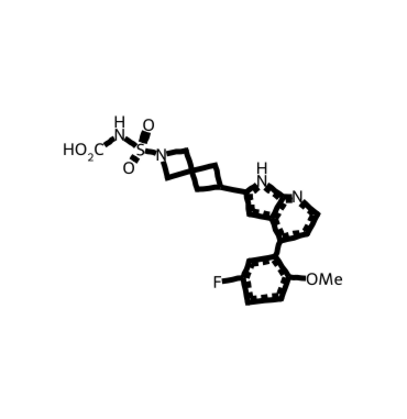 COc1ccc(F)cc1-c1ccnc2[nH]c(C3CC4(C3)CN(S(=O)(=O)NC(=O)O)C4)cc12